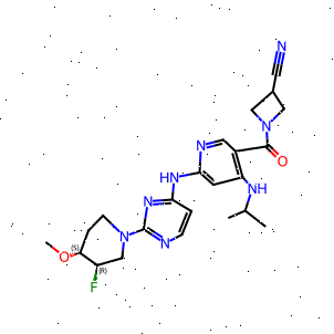 CO[C@H]1CCN(c2nccc(Nc3cc(NC(C)C)c(C(=O)N4CC(C#N)C4)cn3)n2)C[C@H]1F